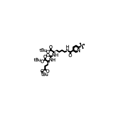 CC(C)(C)OC(=O)CC[C@H](NC(=O)N[C@@H](CCCCNC(=O)c1ccc([N+](C)(C)C)nc1)C(=O)OC(C)(C)C)C(=O)OC(C)(C)C